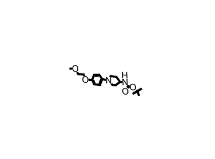 COCCOc1ccc(N2CCC(NC(=O)OC(C)(C)C)CC2)cc1